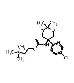 CC1(C)OCC(NC(=O)OCC[Si](C)(C)C)(c2ccc(Cl)cn2)CO1